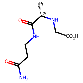 CC(C)[C@H](NCC(=O)O)C(=O)NCCC(N)=O